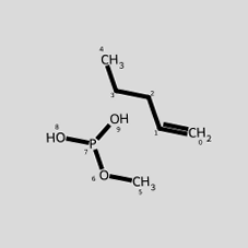 C=CCCC.COP(O)O